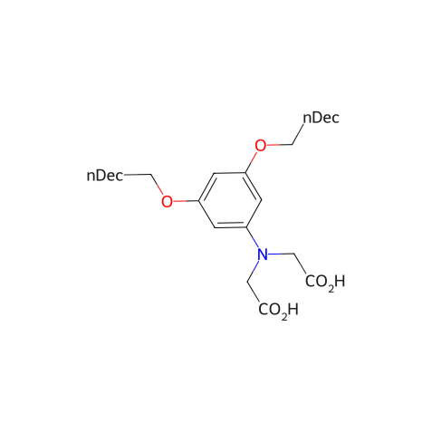 CCCCCCCCCCCOc1cc(OCCCCCCCCCCC)cc(N(CC(=O)O)CC(=O)O)c1